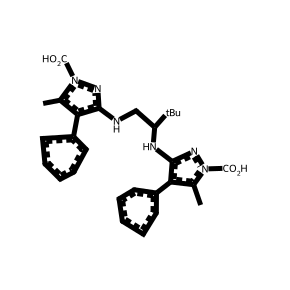 Cc1c(-c2ccccc2)c(NCC(Nc2nn(C(=O)O)c(C)c2-c2ccccc2)C(C)(C)C)nn1C(=O)O